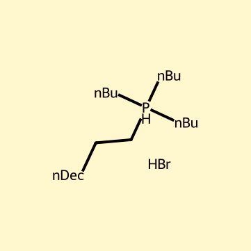 Br.CCCCCCCCCCCC[PH](CCCC)(CCCC)CCCC